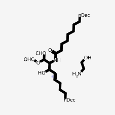 CCCCCCCCCCCCC/C=C/C(O)C(NC(=O)CCCCCCCCCCCCCCCCC)C(C=O)OC=O.NCCO